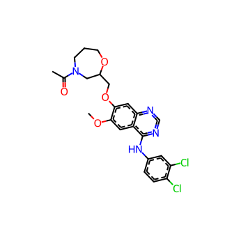 COc1cc2c(Nc3ccc(Cl)c(Cl)c3)ncnc2cc1OCC1CN(C(C)=O)CCCO1